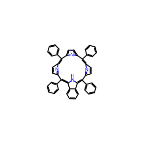 C1=Cc2nc1c(-c1ccccc1)c1ccc([nH]1)c(-c1ccccc1)c1nc(c(-c3ccccc3)c3[nH]c(c2-c2ccccc2)c2ccccc32)C=C1